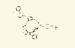 COc1ccccc1-c1nccc(COc2ccc3cc2C[C@H](C(=O)O)Oc2ncnc4sc(-c5ccc(F)cc5)c(c24)-c2ccc(c(Cl)c2C)N(CCN2CCN(C(=O)OC(C)(C)C)CC2)C(=O)CC3)n1